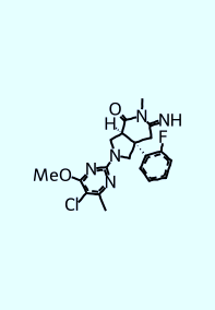 COc1nc(N2C[C@H]3C(=O)N(C)C(=N)C[C@@]3(c3ccccc3F)C2)nc(C)c1Cl